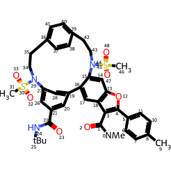 CNC(=O)c1c(-c2ccc(C)cc2)oc2cc3c(cc12)-c1cc(C(=O)NC(C)(C)C)cc(c1)N(S(C)(=O)=O)CCc1ccc(cc1)CCN3S(C)(=O)=O